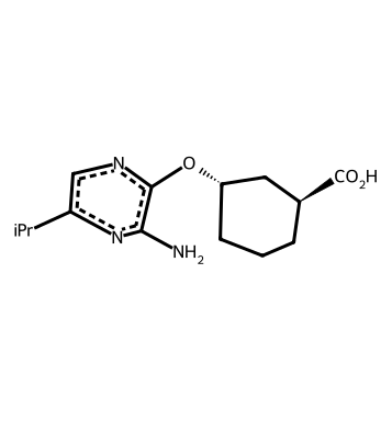 CC(C)c1cnc(O[C@H]2CCC[C@H](C(=O)O)C2)c(N)n1